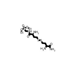 CCOP(=O)(CNC(=O)[C@@H](N)CCSSCCC(N)C(N)=O)OCC